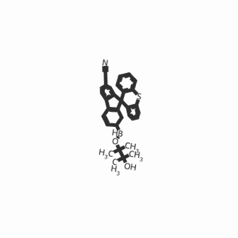 CC(C)(O)C(C)(C)OBC1C=CC2=C(C1)C1(c3ccccc3Sc3ccccc31)c1cc(C#N)ccc12